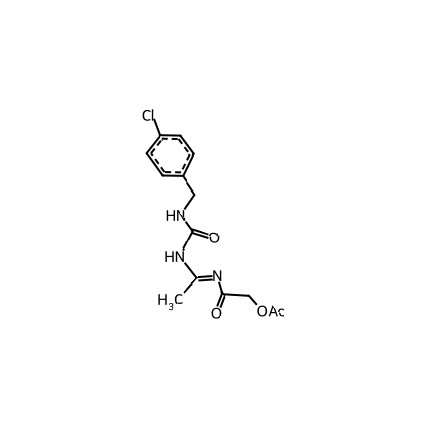 CC(=O)OCC(=O)N=C(C)NC(=O)NCc1ccc(Cl)cc1